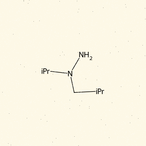 CC(C)CN(N)C(C)C